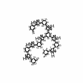 Cc1cccc(-c2cc(-c3cccc(-c4cc(-c5cc(-c6cc(-c7cccc(-c8cc(-c9cccc(C)c9)[nH]n8)c7)[nH]n6)cc(-c6cc(-c7cccc(-c8cc(-c9cccc(-c%10cc(-c%11cccc(C)c%11)[nH]n%10)c9)[nH]n8)c7)[nH]n6)c5)n[nH]4)c3)n[nH]2)c1